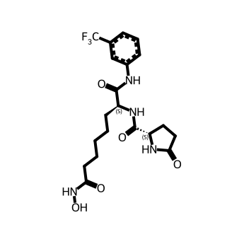 O=C(CCCCC[C@H](NC(=O)[C@@H]1CCC(=O)N1)C(=O)Nc1cccc(C(F)(F)F)c1)NO